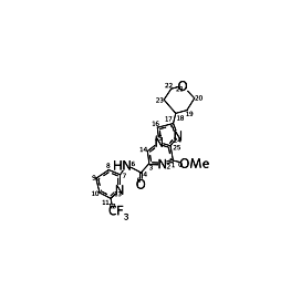 COc1nc(C(=O)Nc2cccc(C(F)(F)F)n2)cn2cc(C3CCOCC3)nc12